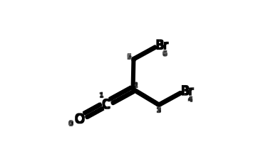 O=C=C(CBr)CBr